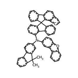 CC1(C)c2ccccc2-c2ccc(N(c3ccc4oc5ccccc5c4c3)c3cccc4c3-c3ccccc3C43c4ccccc4-c4ccc5ccccc5c43)cc21